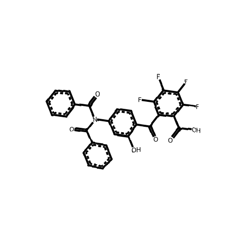 O=C(O)c1c(F)c(F)c(F)c(F)c1C(=O)c1ccc(N(C(=O)c2ccccc2)C(=O)c2ccccc2)cc1O